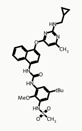 COc1c(NC(=O)Nc2ccc(Oc3cc(C)nc(NCC4CC4)n3)c3ccccc23)cc(C(C)(C)C)cc1NS(C)(=O)=O